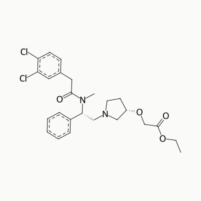 CCOC(=O)CO[C@H]1CCN(C[C@H](c2ccccc2)N(C)C(=O)Cc2ccc(Cl)c(Cl)c2)C1